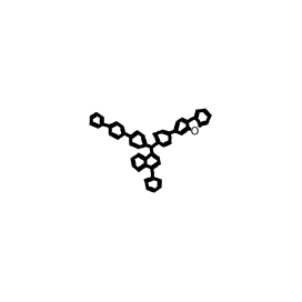 c1ccc(-c2ccc(-c3ccc(C(c4ccc(-c5ccc6c(c5)oc5ccccc56)cc4)c4ccc(-c5ccccc5)c5ccccc45)cc3)cc2)cc1